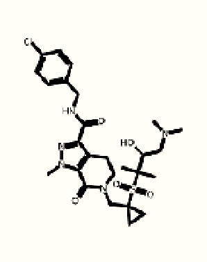 CN(C)C[C@H](O)C(C)(C)S(=O)(=O)C1(CN2CCc3c(C(=O)NCc4ccc(Cl)cc4)nn(C)c3C2=O)CC1